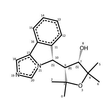 CC1(C)OC(C)(C)[C@@H](O)[C@H]1[C@H]1c2ccccc2-c2cncn21